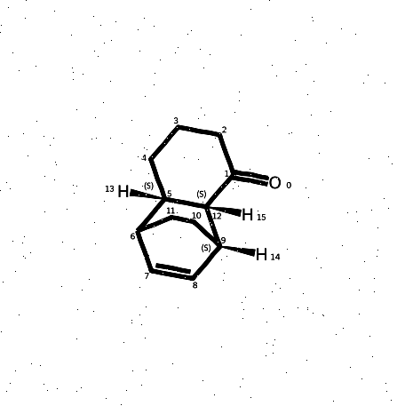 O=C1CCC[C@H]2C3C=C[C@H](CC3)[C@@H]12